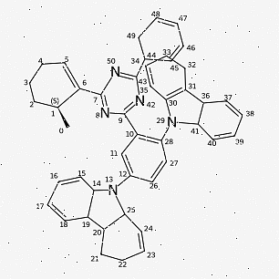 C[C@H]1CCCC=C1c1nc(-c2cc(N3C4C=CC=CC4C4CCC=CC43)ccc2N2C3=C(CCC=C3)C3C=CC=CC32)nc(C2C=CC=CC2)n1